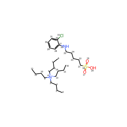 CCCC[N+](CCCC)(CCCC)CCCC.O=S(=O)(O)CCCCCNc1ccccc1Cl